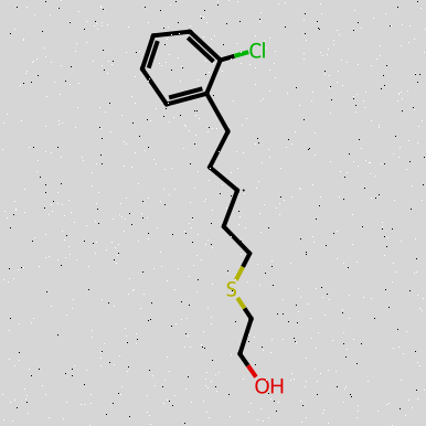 OCCSCC[CH]CCc1ccccc1Cl